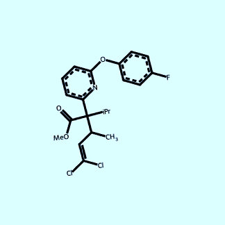 COC(=O)C(c1cccc(Oc2ccc(F)cc2)n1)(C(C)C)C(C)C=C(Cl)Cl